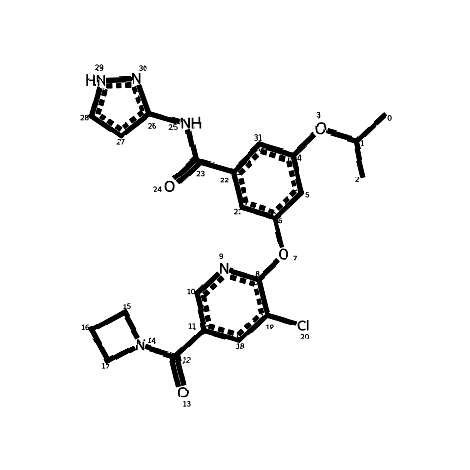 CC(C)Oc1cc(Oc2ncc(C(=O)N3CCC3)cc2Cl)cc(C(=O)Nc2cc[nH]n2)c1